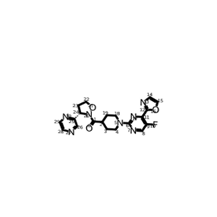 O=C(C1CCN(c2ncc(F)c(-c3ncco3)n2)CC1)N1OCC[C@H]1c1cnccn1